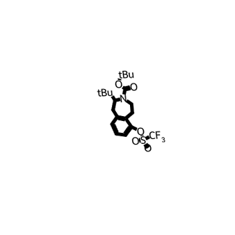 CC(C)(C)OC(=O)N1CCc2c(cccc2OS(=O)(=O)C(F)(F)F)CC1C(C)(C)C